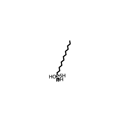 CCCCCCCCCCCCC[PH](O)(O)S